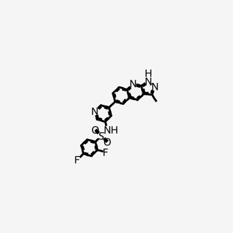 Cc1n[nH]c2nc3ccc(-c4cncc(NS(=O)(=O)c5ccc(F)cc5F)c4)cc3cc12